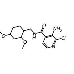 COC1CCC(CNC(=O)c2ccnc(Cl)c2N)C(OC)C1